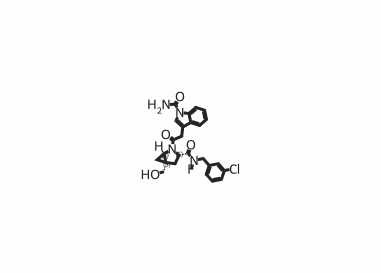 NC(=O)n1cc(CC(=O)N2[C@H](C(=O)N(F)Cc3cccc(Cl)c3)C[C@@]3(CO)C[C@@H]23)c2ccccc21